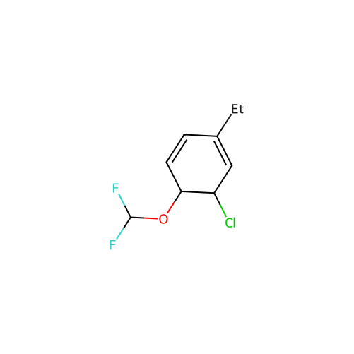 CCC1=CC(Cl)C(OC(F)F)C=C1